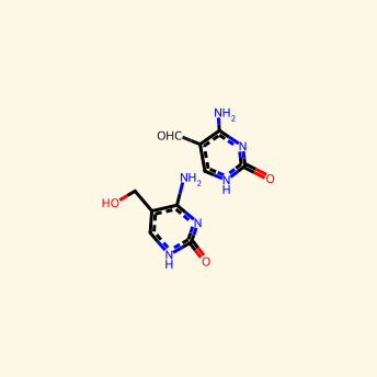 Nc1nc(=O)[nH]cc1C=O.Nc1nc(=O)[nH]cc1CO